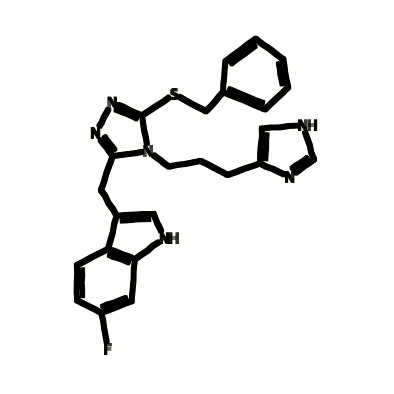 Fc1ccc2c(Cc3nnc(SCc4ccccc4)n3CCCc3c[nH]cn3)c[nH]c2c1